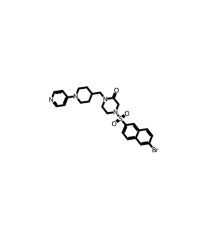 O=C1CN(S(=O)(=O)c2ccc3cc(Br)ccc3c2)CCN1CC1CCN(c2ccncc2)CC1